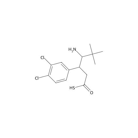 CC(C)(C)C(N)C(CC(=O)S)c1ccc(Cl)c(Cl)c1